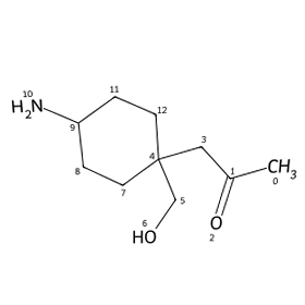 CC(=O)CC1(CO)CCC(N)CC1